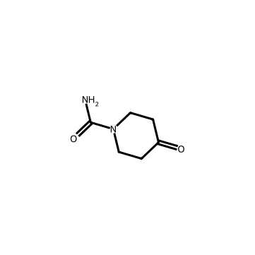 NC(=O)N1CCC(=O)CC1